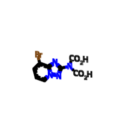 O=C(O)N(C(=O)O)c1nc2c(Br)cccn2n1